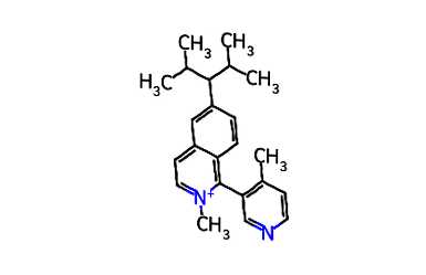 Cc1ccncc1-c1c2ccc(C(C(C)C)C(C)C)cc2cc[n+]1C